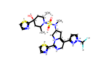 CC1C[C@](O)(c2nccs2)C[C@H](C)N1S(=O)(=O)N(C)[C@H]1CC2=C(c3ccn(C(F)F)n3)CN=C(c3nccs3)N2C1